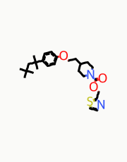 CC(C)(C)CC(C)(C)c1ccc(OCCC2CCN(C(=O)OCc3nccs3)CC2)cc1